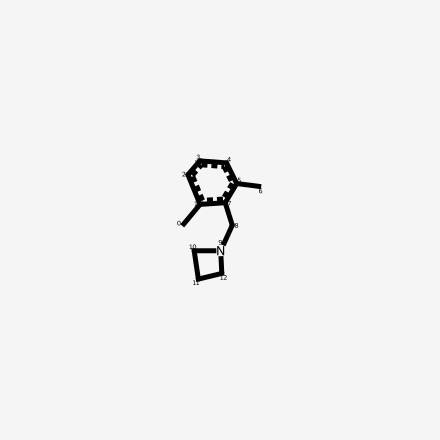 Cc1c[c]cc(C)c1CN1CCC1